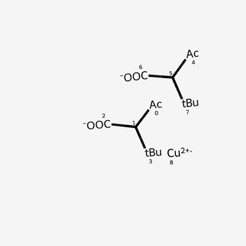 CC(=O)C(C(=O)[O-])C(C)(C)C.CC(=O)C(C(=O)[O-])C(C)(C)C.[Cu+2]